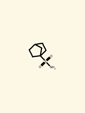 NS(=O)(=O)C12CCC(CC1)C2